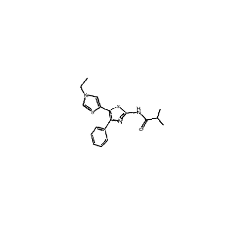 CCn1cnc(-c2sc(NC(=O)C(C)C)nc2-c2ccccc2)c1